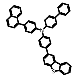 C1=CC(N(c2ccc(-c3ccc4sc5ccccc5c4c3)cc2)c2ccc(-c3cccc4ccccc34)cc2)CC=C1c1ccccc1